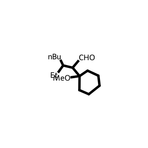 CCCCC(CC)C(C=O)C1(OC)CCCCC1